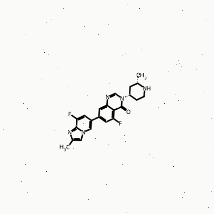 Cc1cn2cc(-c3cc(F)c4c(=O)n([C@H]5CCN[C@@H](C)C5)cnc4c3)cc(F)c2n1